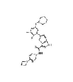 O=C(Nc1ccc(N2CCC2)nc1)c1n[nH]c2ccc(-c3cc(CN4CCCCC4)cc(F)c3F)cc12